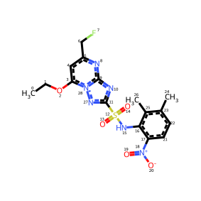 CCOc1cc(CF)nc2nc(S(=O)(=O)Nc3c([N+](=O)[O-])ccc(C)c3C)nn12